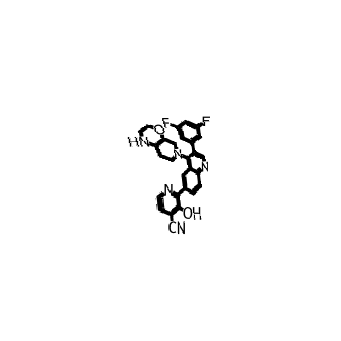 N#Cc1ccnc(-c2ccc3ncc(-c4cc(F)cc(F)c4)c(N4CCC5NCCOC5C4)c3c2)c1O